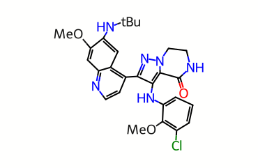 COc1cc2nccc(-c3nn4c(c3Nc3cccc(Cl)c3OC)C(=O)NCC4)c2cc1NC(C)(C)C